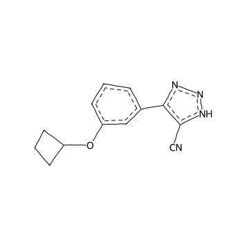 N#Cc1[nH]nnc1-c1cccc(OC2CCC2)c1